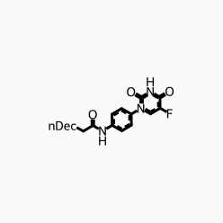 CCCCCCCCCCCC(=O)Nc1ccc(-n2cc(F)c(=O)[nH]c2=O)cc1